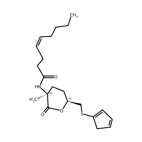 CCCC/C=C\CCC(=O)N[C@@]1(C)CC[C@@H](CSC2=CC=CC2)OC1=O